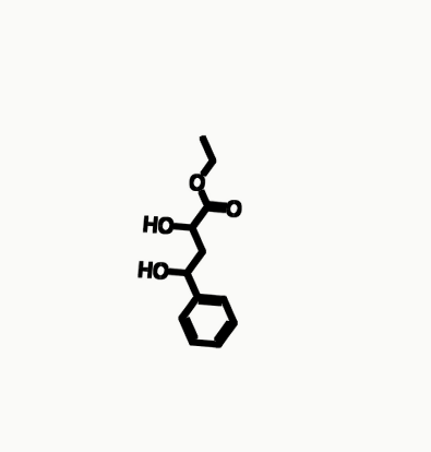 CCOC(=O)C(O)CC(O)c1ccccc1